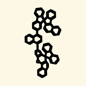 c1ccc2c(c1)-c1ccccc1C21c2cc(-c3ccc(-c4ccc5c(c4)C4(c6ccccc6-5)c5ccccc5-c5c4ccc4ccccc54)c4ccccc34)ccc2Oc2c1ccc1ccccc21